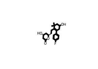 CC1(C)CC(O)CC(c2ccc(F)cc2)=C1CC[C@@H]1C[C@@H](O)CC(=O)O1